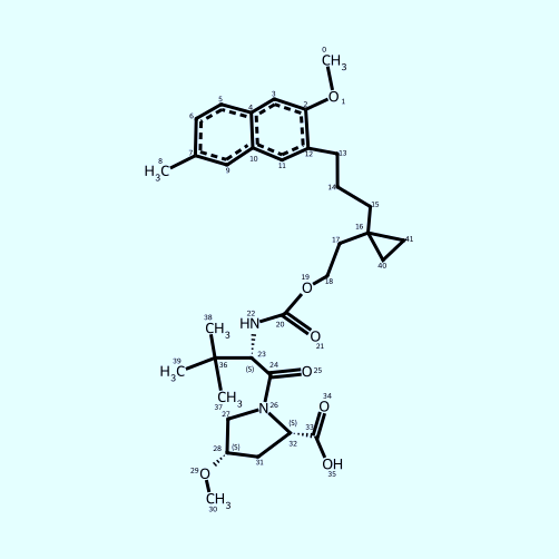 COc1cc2ccc(C)cc2cc1CCCC1(CCOC(=O)N[C@H](C(=O)N2C[C@@H](OC)C[C@H]2C(=O)O)C(C)(C)C)CC1